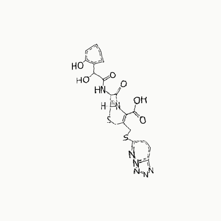 O=C(O)C1=C(CSc2ccc3nnnn3n2)CS[C@H]2C(NC(=O)C(O)c3ccccc3O)C(=O)N12